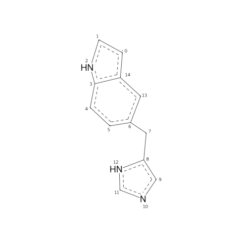 [c]1c[nH]c2ccc(Cc3cnc[nH]3)cc12